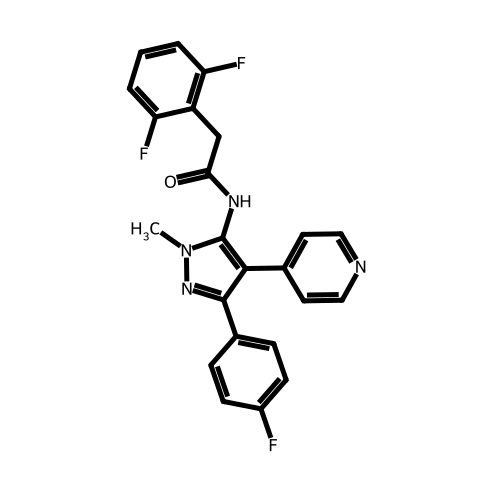 Cn1nc(-c2ccc(F)cc2)c(-c2ccncc2)c1NC(=O)Cc1c(F)cccc1F